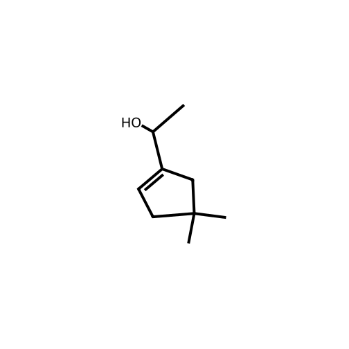 CC(O)C1=CCC(C)(C)C1